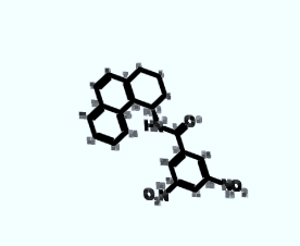 O=C(N[C@@H]1CCCc2ccc3ccccc3c21)c1cc([N+](=O)[O-])cc([N+](=O)[O-])c1